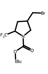 CC(C)(C)OC(=O)N1CC(CBr)CC1C(F)(F)F